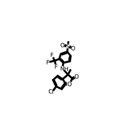 CC(Nc1ccc(S(C)(=O)=O)cc1C(F)(F)F)(C(=O)O)c1ccc(Cl)cc1